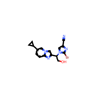 N#Cc1cn(C(CO)c2cn3cc(C4CC4)ccc3n2)c(Br)n1